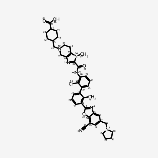 Cc1c(-c2nc3cc(CN4CCCC4)cc(C#N)c3o2)cccc1-c1cccc(NC(=O)c2nc3c(n2C)CCN(CC2CCC(C(=O)O)CC2)C3)c1Cl